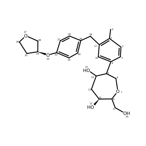 Cc1ccc(C2COC(CO)[C@@H](O)CC2O)cc1Cc1ccc(O[C@H]2CCOC2)cc1